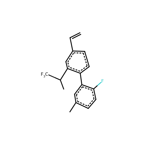 C=Cc1ccc(-c2cc(C)ccc2F)c(C(C)C(F)(F)F)c1